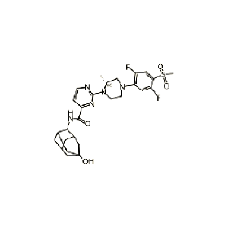 C[C@@H]1CN(c2cc(F)c(S(C)(=O)=O)cc2F)CCN1c1nccc(C(=O)NC2C3CC4CC2CC(O)(C4)C3)n1